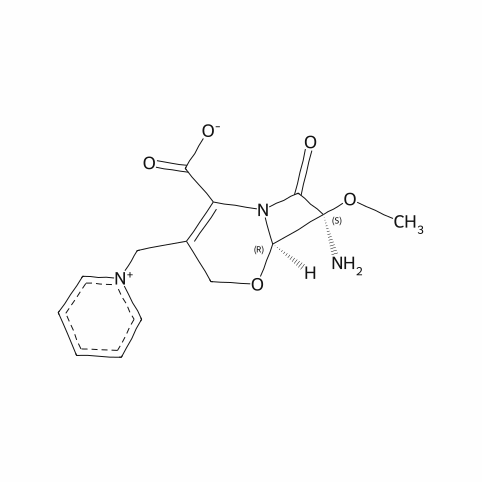 CO[C@]1(N)C(=O)N2C(C(=O)[O-])=C(C[n+]3ccccc3)CO[C@@H]21